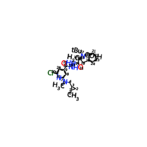 CC1CC1CN(C)c1cc(C(=O)NNC(=O)[C@@](C)(Cc2ccccc2)N(C(=O)O)C(C)(C)C)cc(Cl)n1